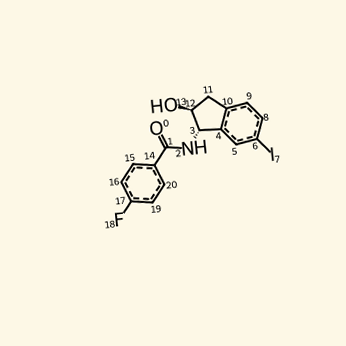 O=C(N[C@H]1c2cc(I)ccc2C[C@@H]1O)c1ccc(F)cc1